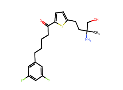 CC(N)(CO)CCc1ccc(C(=O)CCCCc2cc(F)cc(F)c2)s1